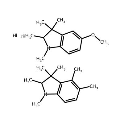 COc1ccc2c(c1)C(C)(C)C(C)N2C.Cc1ccc2c(c1C)C(C)(C)C(C)N2C.I.I